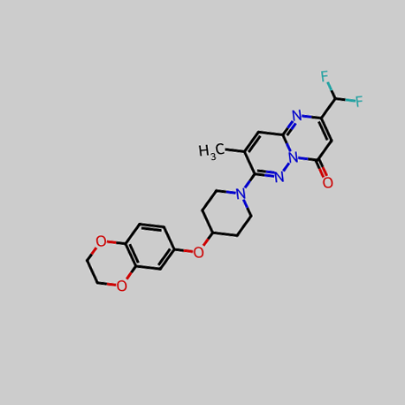 Cc1cc2nc(C(F)F)cc(=O)n2nc1N1CCC(Oc2ccc3c(c2)OCCO3)CC1